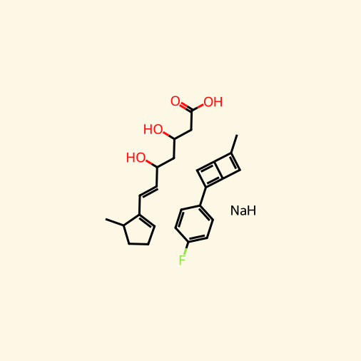 CC1CCC=C1C=CC(O)CC(O)CC(=O)O.Cc1cc2c(-c3ccc(F)cc3)cc1-2.[NaH]